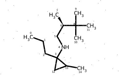 CCCC1(NC[C@@H](C)C(C)(C)C)CC1C